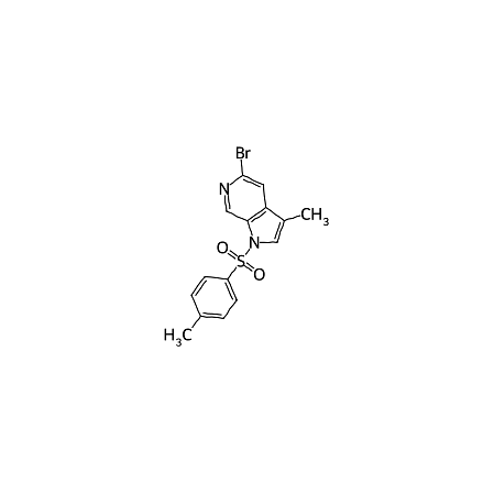 Cc1ccc(S(=O)(=O)n2cc(C)c3cc(Br)ncc32)cc1